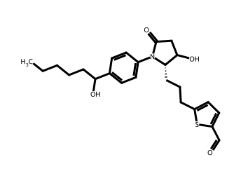 CCCCCC(O)c1ccc(N2C(=O)CC(O)[C@@H]2CCCc2ccc(C=O)s2)cc1